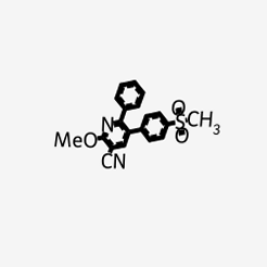 COc1nc(-c2ccccc2)c(-c2ccc(S(C)(=O)=O)cc2)cc1C#N